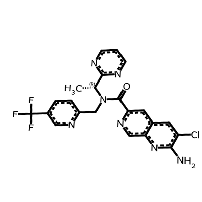 C[C@H](c1ncccn1)N(Cc1ccc(C(F)(F)F)cn1)C(=O)c1cc2cc(Cl)c(N)nc2cn1